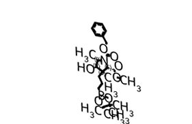 COC(=O)[C@H]1N(C(=O)OCc2ccccc2)[C@H](C)[C@H](O)[C@@]1(C)CCCB1OC(C)(C)C(C)(C)O1